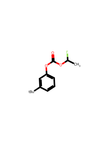 CC(F)OC(=O)Oc1cccc(C(C)(C)C)c1